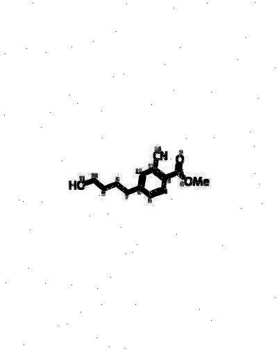 COC(=O)c1ccc(CCCCO)cc1C#N